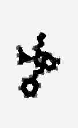 C=CCOC(=O)N(CC1(COC2CCCCC2)CCNCC1)[C@@H]1C[C@H]1C